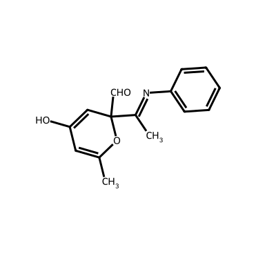 CC1=CC(O)=CC(C=O)(C(C)=Nc2ccccc2)O1